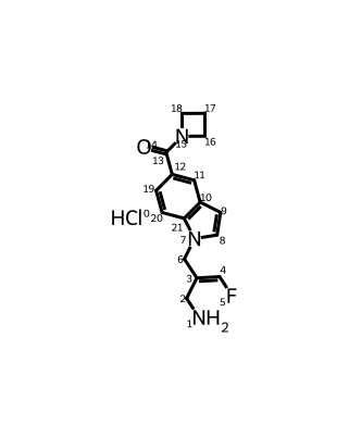 Cl.NCC(=CF)Cn1ccc2cc(C(=O)N3CCC3)ccc21